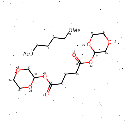 COCCCCOC(C)=O.O=C(CCCC(=O)OC1COCCO1)OC1COCCO1